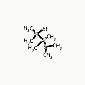 [CH2]C[Si](C)(C)[Si](C)(C)[Si](C)C